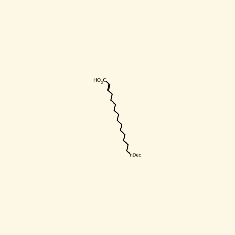 CCCCCCCCCCCCCCCCCCCCCCC=CC(=O)O